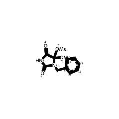 COC1(OC)C(=O)NC(=O)N1Cc1ccccc1